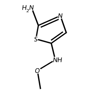 CONc1cnc(N)s1